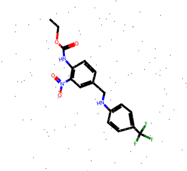 CCOC(=O)Nc1ccc(CNc2ccc(C(F)(F)F)cc2)cc1[N+](=O)[O-]